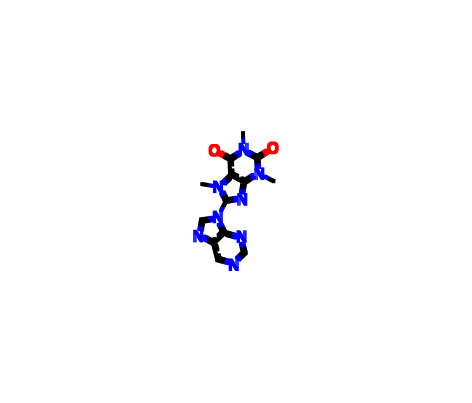 Cn1c(=O)c2c(nc(-n3cnc4cncnc43)n2C)n(C)c1=O